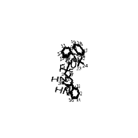 CC1(CC(F)(F)CO[Si](c2ccccc2)(c2ccccc2)C(C)(C)C)Cc2c([nH]c3ccccc23)CN1